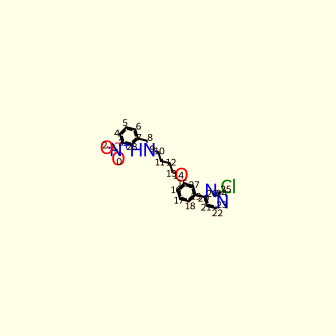 O=[N+]([O-])c1cccc(CNCCCCOc2cccc(-c3ccnc(Cl)n3)c2)c1